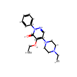 CC(C)CN1CCN(c2cnn(-c3ccccc3)c(=O)c2OCC(C)(C)C)CC1